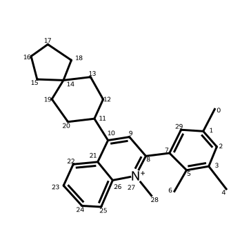 Cc1cc(C)c(C)c(-c2cc(C3CCC4(CCCC4)CC3)c3ccccc3[n+]2C)c1